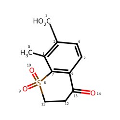 Cc1c(C(=O)O)ccc2c1S(=O)(=O)CCC2=O